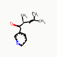 CC(C)=C[C@H](C)C(=O)c1cccnc1